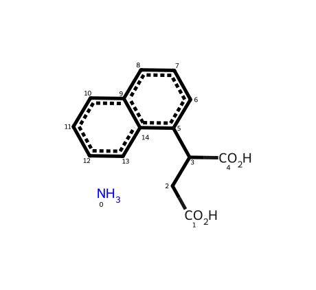 N.O=C(O)CC(C(=O)O)c1cccc2ccccc12